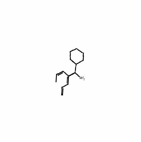 C=C/C=C(\C=C/C)C(N)C1CCCCC1